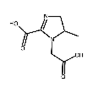 CC1CN=C(C(=O)O)N1CC(=O)O